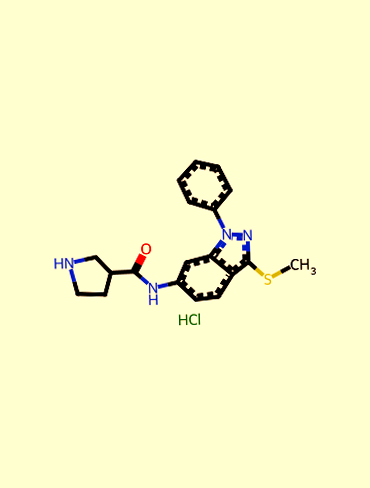 CSc1nn(-c2ccccc2)c2cc(NC(=O)C3CCNC3)ccc12.Cl